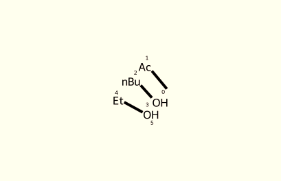 CC(C)=O.CCCCO.CCO